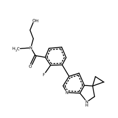 CN(CCO)C(=O)c1cccc(-c2cnc3c(c2)C2(CC2)CN3)c1F